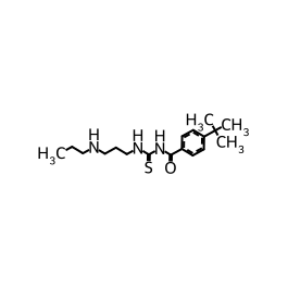 CCCNCCCNC(=S)NC(=O)c1ccc(C(C)(C)C)cc1